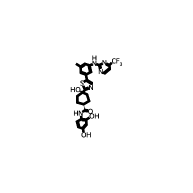 Cc1cc(Nc2nccc(C(F)(F)F)n2)cc(-c2cnc([C@]3(O)CC[C@H](C(=O)Nc4ccc(O)cc4O)CC3)s2)c1